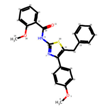 COc1ccc(-c2nc(NC(=O)c3ccccc3OC)sc2Cc2ccccc2)cc1